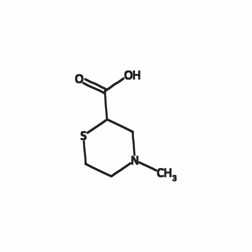 CN1CCSC(C(=O)O)C1